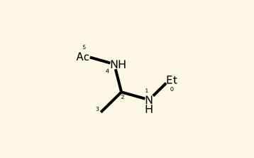 CCNC(C)NC(C)=O